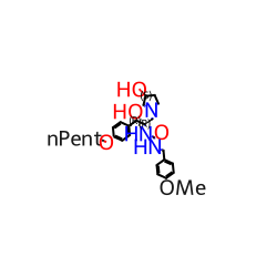 CCCCCOc1ccc([C@@H](O)[C@@H](CN2CC[C@H](O)C2)NC(=O)NCc2ccc(OC)cc2)cc1